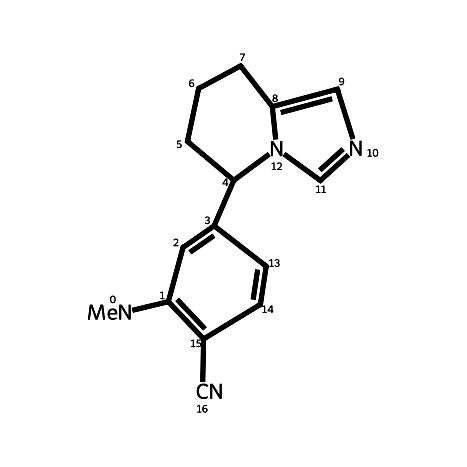 CNc1cc(C2CCCc3cncn32)ccc1C#N